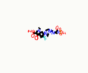 CCn1cc(C(=O)O)c(=O)c2cc(F)c(N3CCN(C=NC4CN(S(=O)(=O)O)C4=O)CC3)cc21